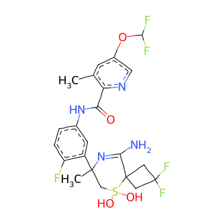 Cc1cc(OC(F)F)cnc1C(=O)Nc1ccc(F)c(C2(C)CS(O)(O)C3(CC(F)(F)C3)C(N)=N2)c1